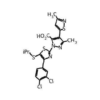 Cc1cc(-c2c(C)nn(-c3nc(-c4ccc(Cl)c(Cl)c4)c(SC(C)C)s3)c2C(=O)O)sn1